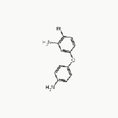 CCc1ccc(Oc2ccc(N)cc2)cc1N